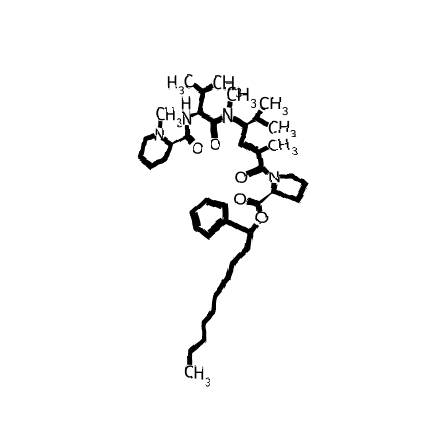 CCCCCCCCCC(OC(=O)[C@@H]1CCCN1C(=O)/C(C)=C/[C@H](C(C)C)N(C)C(=O)[C@@H](NC(=O)[C@H]1CCCCN1C)C(C)C)c1ccccc1